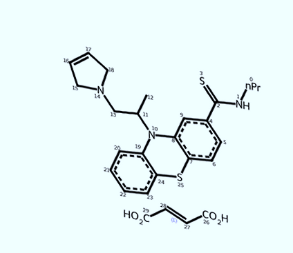 CCCNC(=S)c1ccc2c(c1)N(C(C)CN1CC=CC1)c1ccccc1S2.O=C(O)/C=C/C(=O)O